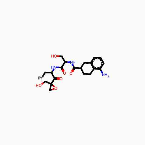 CC(C)CC(NC(=O)C(CO)NC(=O)C1CCc2c(N)cccc2C1)C(=O)C1(CO)CO1